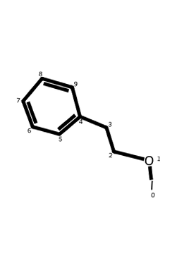 IOCCc1ccccc1